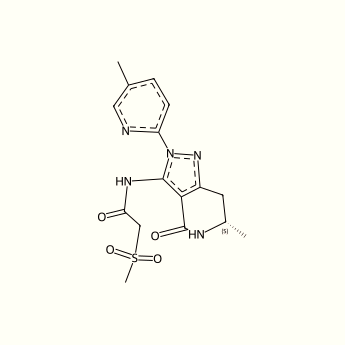 Cc1ccc(-n2nc3c(c2NC(=O)CS(C)(=O)=O)C(=O)N[C@@H](C)C3)nc1